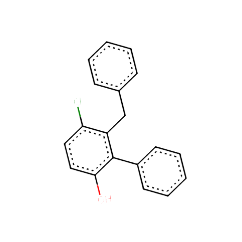 Oc1ccc(Cl)c(Cc2ccccc2)c1-c1ccccc1